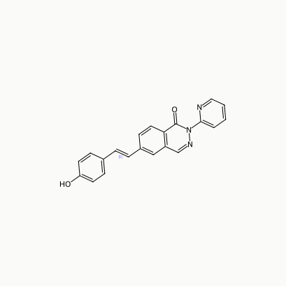 O=c1c2ccc(/C=C/c3ccc(O)cc3)cc2cnn1-c1ccccn1